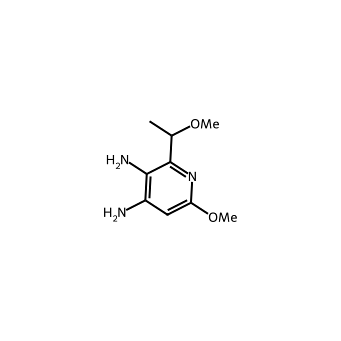 COc1cc(N)c(N)c(C(C)OC)n1